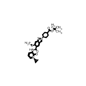 COc1cc2nn(C3CCC(C(=O)OC(C)(C)C)CC3)cc2cc1C(=O)Nc1cccn(C2CC2)c1=O